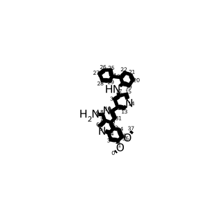 COc1cc2ncc3c(N)nc(-c4cncc(Nc5ccccc5-c5ccccc5)c4)cc3c2cc1OC